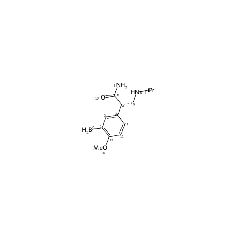 Bc1cc([C@@H](CNC(C)C)C(N)=O)ccc1OC